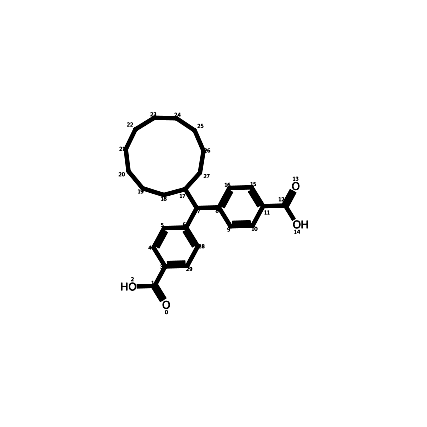 O=C(O)c1ccc(C(c2ccc(C(=O)O)cc2)C2CCCCCCCCCC2)cc1